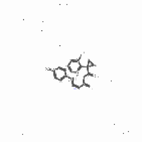 N=C(/C=C\Nc1ccc(C(F)(F)F)cc1)NC(=O)C1(c2ncccc2F)CC1